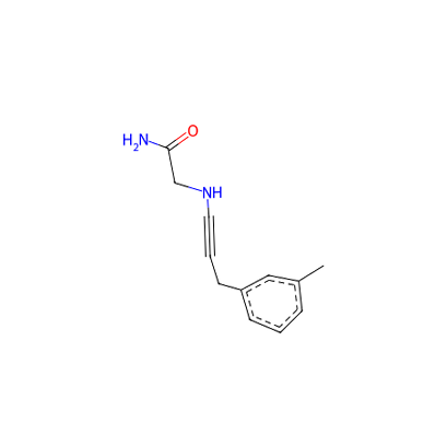 Cc1cccc(CC#CNCC(N)=O)c1